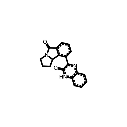 O=C1c2cccc(-c3nc4ccccc4[nH]c3=O)c2C2CCCN12